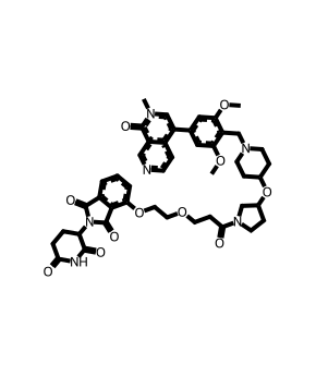 COc1cc(-c2cn(C)c(=O)c3cnccc23)cc(OC)c1CN1CCC(OC2CCN(C(=O)CCOCCOc3cccc4c3C(=O)N(C3CCC(=O)NC3=O)C4=O)C2)CC1